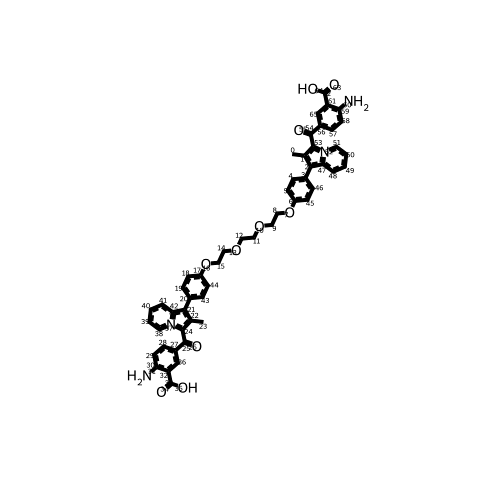 Cc1c(-c2ccc(OCCOCCOCCOc3ccc(-c4c(C)c(C(=O)c5ccc(N)c(C(=O)O)c5)n5ccccc45)cc3)cc2)c2ccccn2c1C(=O)c1ccc(N)c(C(=O)O)c1